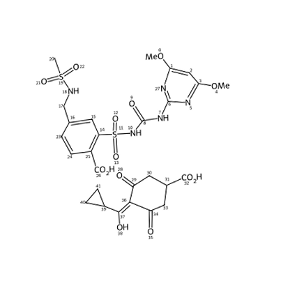 COc1cc(OC)nc(NC(=O)NS(=O)(=O)c2cc(CNS(C)(=O)=O)ccc2C(=O)O)n1.O=C1CC(C(=O)O)CC(=O)C1=C(O)C1CC1